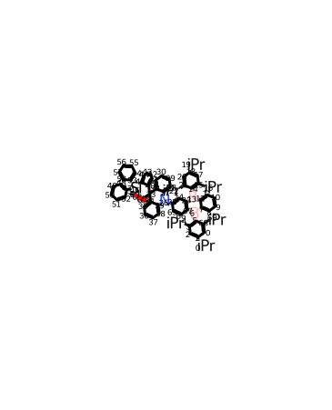 CC(C)c1cc(C(C)C)c(B2c3ccccc3B(c3c(C(C)C)cc(C(C)C)cc3C(C)C)c3cc(N4c5ccccc5C5(c6ccccc64)c4ccccc4[Si](c4ccccc4)(c4ccccc4)c4ccccc45)ccc32)c(C(C)C)c1